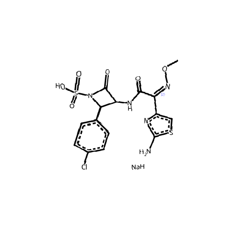 CO/N=C(\C(=O)NC1C(=O)N(S(=O)(=O)O)C1c1ccc(Cl)cc1)c1csc(N)n1.[NaH]